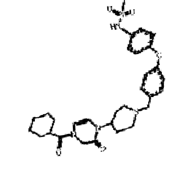 CS(=O)(=O)Nc1ccc(Oc2ccc(CN3CCC(N4C=CN(C(=O)C5CCCCC5)CC4=O)CC3)cc2)cc1